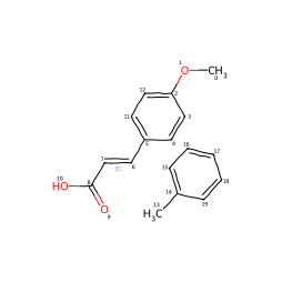 COc1ccc(/C=C/C(=O)O)cc1.Cc1ccccc1